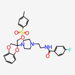 Cc1ccc(S(=O)(=O)OCC2(N3CCN(CCNC(=O)c4ccc(F)cc4)CC3)COc3ccccc3O2)cc1